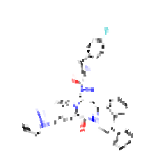 CNCCCC1C(=O)N(CC(c2ccccc2)c2ccccc2)CCC(CNC(=O)/C=C/c2ccc(F)cc2)N1C